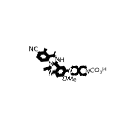 COc1cc2nc(C)nc(N[C@H](C)c3cccc(C#N)c3C)c2cc1N1CCC2(CCN(C(=O)O)CC2)CC1